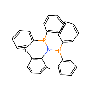 Cc1cccc(C(C)C)c1N(P(c1ccccc1)c1ccccc1)P(c1ccccc1)c1ccccc1